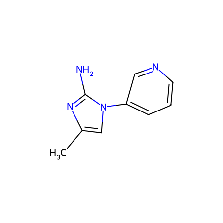 Cc1cn(-c2cccnc2)c(N)n1